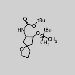 CC(C)(C)OC(=O)NC1CC2(CCCO2)CC1O[Si](C)(C)C(C)(C)C